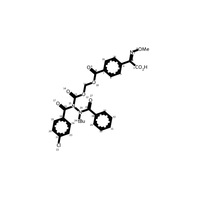 CON=C(C(=O)O)c1ccc(C(=O)OCOC(=O)N(C(=O)c2ccc(Cl)cc2)N(C(=O)c2ccccc2)C(C)(C)C)cc1